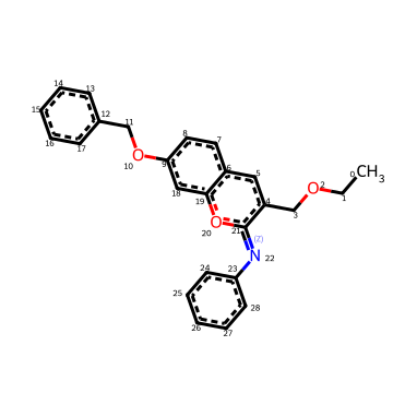 CCOCc1cc2ccc(OCc3ccccc3)cc2o/c1=N\c1ccccc1